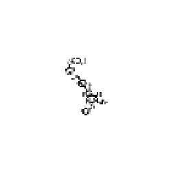 CCCn1c(OC2CCCC2)nc2nc(C34CCC(COc5ncc(OC(=O)O)s5)(CC3)CC4)[nH]c2c1=O